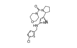 O=C(N1CCOCC1)N1CCCC1c1cc(NCc2ccc(Cl)s2)[nH]n1